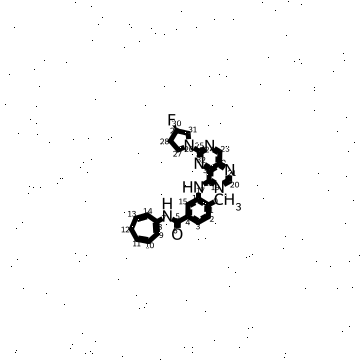 Cc1ccc(C(=O)NC2=CC=CCC=C2)cc1Nc1ncnc2cnc(N3CC[C@@H](F)C3)nc12